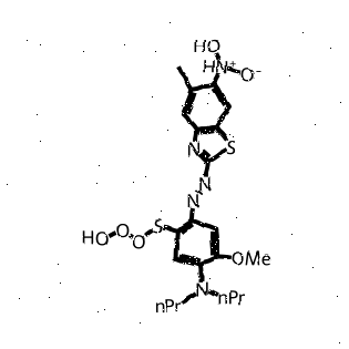 CCCN(CCC)c1cc(SOOO)c(/N=N/c2nc3cc(C)c([NH+]([O-])O)cc3s2)cc1OC